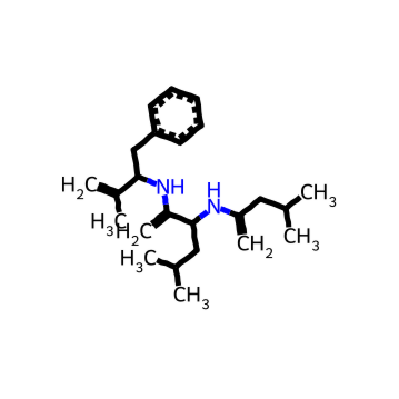 C=C(CC(C)C)NC(CC(C)C)C(=C)NC(Cc1ccccc1)C(=C)C